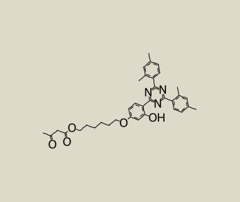 CC(=O)CC(=O)OCCCCCCOc1ccc(-c2nc(-c3ccc(C)cc3C)nc(-c3ccc(C)cc3C)n2)c(O)c1